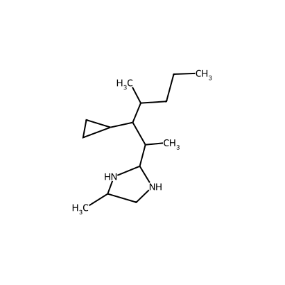 CCCC(C)C(C1CC1)C(C)C1NCC(C)N1